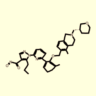 CCCc1c(C(=O)N=O)cnn1-c1cccc(C2=CCCC(C)=C2OCc2ccc3c(c2C)CCN(C[C@H]2CCCOC2)C3)n1